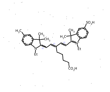 CCN1/C(=C/C=C(/C=C/C2=[N+](CC)c3ccc(S(=O)(=O)O)cc3C2(C)C)CCCCC(=O)O)C(C)(C)c2cc(C)ccc21